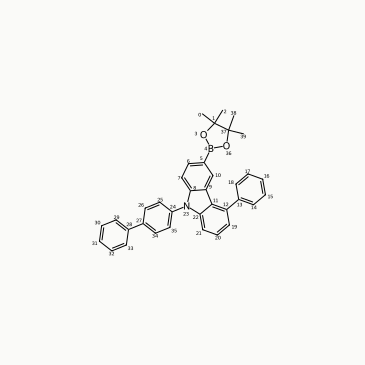 CC1(C)OB(c2ccc3c(c2)c2c(-c4ccccc4)cccc2n3-c2ccc(-c3ccccc3)cc2)OC1(C)C